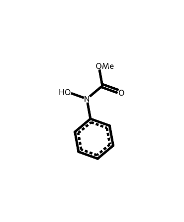 COC(=O)N(O)c1ccccc1